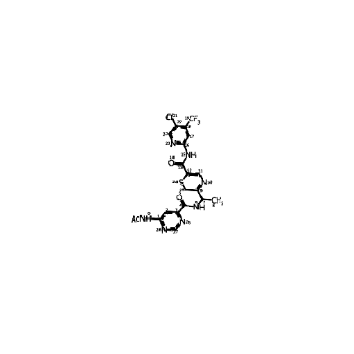 CC(=O)Nc1cc(C(=O)NC(C)C2=NC=C(C(=O)Nc3cc(C(F)(F)F)c(Cl)cn3)SC2)ncn1